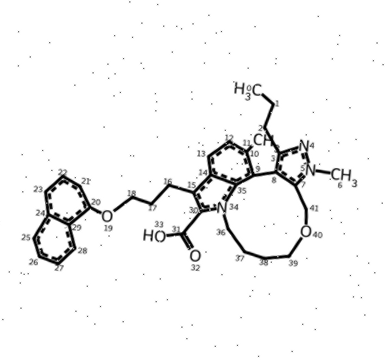 CCCc1nn(C)c2c1-c1c(C)ccc3c(CCCOc4cccc5ccccc45)c(C(=O)O)n(c13)CCCCOC2